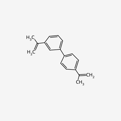 C=C(C)c1ccc(-c2cccc(C(=C)C)c2)cc1